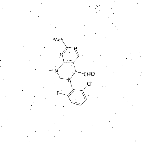 CSc1ncc2c(n1)N(C)CN(c1c(F)cccc1Cl)C2C=O